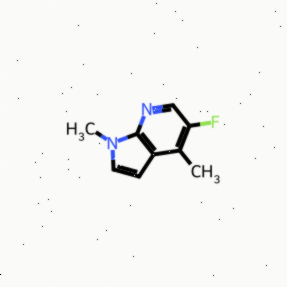 Cc1c(F)cnc2c1ccn2C